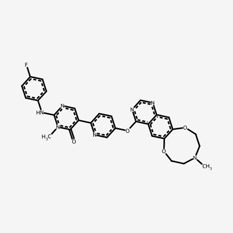 CN1CCOc2cc3ncnc(Oc4ccc(-c5cnc(Nc6ccc(F)cc6)n(C)c5=O)nc4)c3cc2OCC1